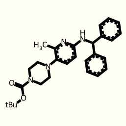 Cc1nc(NC(c2ccccc2)c2ccccc2)ccc1N1CCN(C(=O)OC(C)(C)C)CC1